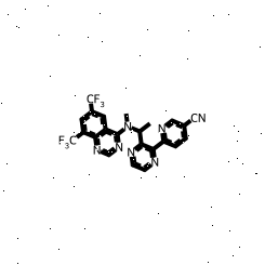 CC(c1nccnc1-c1ccc(C#N)cn1)N(C)c1ncnc2c(C(F)(F)F)cc(C(F)(F)F)cc12